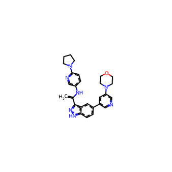 C=C(Nc1ccc(N2CCCC2)nc1)c1n[nH]c2ccc(-c3cncc(N4CCOCC4)c3)cc12